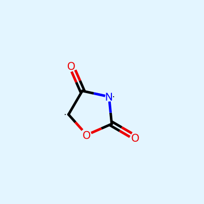 O=C1[CH]OC(=O)[N]1